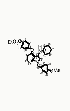 CCOC(=O)c1ccc(Oc2ccnc3c2c(NC2CCCCC2)nn3Cc2ccc(OC)cc2)cc1